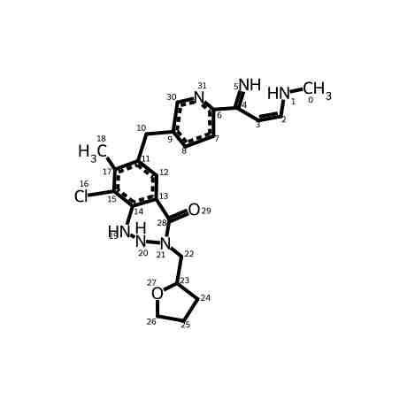 CN/C=C\C(=N)c1ccc(Cc2cc3c(c(Cl)c2C)NNN(CC2CCCO2)C3=O)cn1